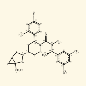 CCOC(=O)C12CC1CN([C@H]1CCN(C(=O)N(C)[C@H](C)c3cc(C(F)(F)F)cc(C(F)(F)F)c3)[C@@H](c3ccc(F)cc3C)C1)C2